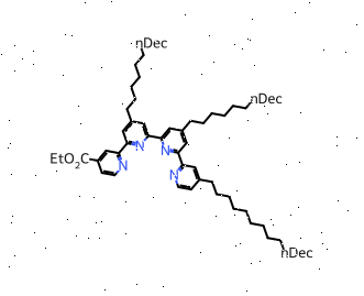 CCCCCCCCCCCCCCCCCCCc1ccnc(-c2cc(CCCCCCCCCCCCCCCC)cc(-c3cc(CCCCCCCCCCCCCCCC)cc(-c4cc(C(=O)OCC)ccn4)n3)n2)c1